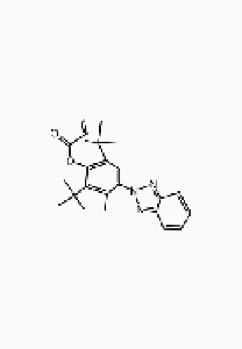 C=CC(=O)Oc1c(C(C)(C)C)cc(-n2nc3ccccc3n2)c(C)c1C(C)(C)C